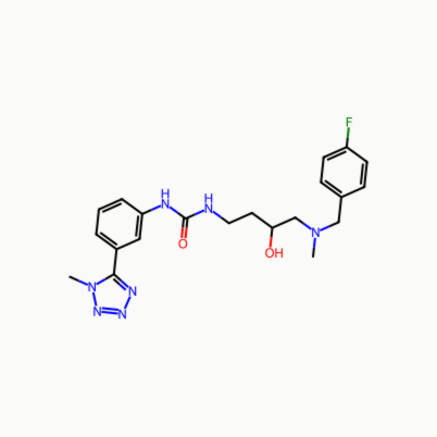 CN(Cc1ccc(F)cc1)CC(O)CCNC(=O)Nc1cccc(-c2nnnn2C)c1